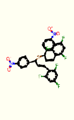 O=[N+]([O-])c1ccc(C(C=Cc2c(F)cc(F)cc2F)SC(C=Cc2c(F)cc(F)cc2F)c2ccc([N+](=O)[O-])cc2)cc1